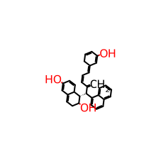 C=C(/C=C\C=C1\C=C(O)C=CC1)C(c1cccc2ccccc12)[C@H]1C2C=CC(O)=CC2=CC[C@@H]1O